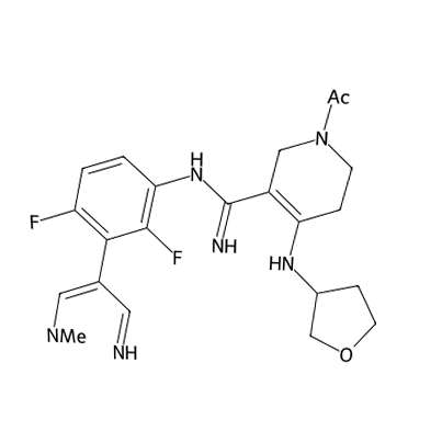 CN/C=C(\C=N)c1c(F)ccc(NC(=N)C2=C(NC3CCOC3)CCN(C(C)=O)C2)c1F